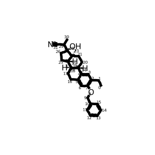 CCc1cc2c(cc1OCc1ccccc1)CC[C@@H]1[C@@H]2CC[C@@]2(C)[C@H]1CC[C@@]2(O)C(C)C#N